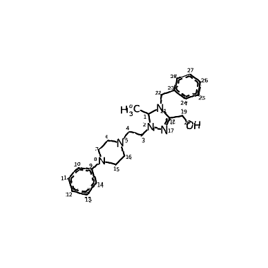 CC1N(CCN2CCN(c3ccccc3)CC2)N=C(CO)N1Cc1ccccc1